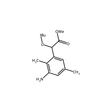 COC(=O)C(OC(C)(C)C)c1cc(C)cc(N)c1C